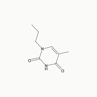 CCCn1cc(C)c(=O)[nH]c1=O